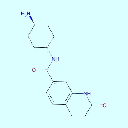 N[C@H]1CC[C@H](NC(=O)c2ccc3c(c2)NC(=O)CC3)CC1